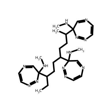 CCC(CCC(CCC(C)C1(NC)C=NC=CN=N1)C1(NC)C=NC=CN=N1)C1(NC)C=NC=CN=N1